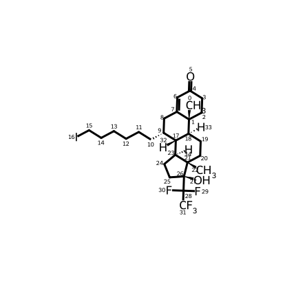 C[C@]12CCC(=O)C=C1C[C@@H](CCCCCCI)[C@@H]1[C@@H]2CC[C@@]2(C)[C@H]1CC[C@@]2(O)C(F)(F)C(F)(F)F